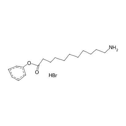 Br.NCCCCCCCCCCC(=O)Oc1ccccc1